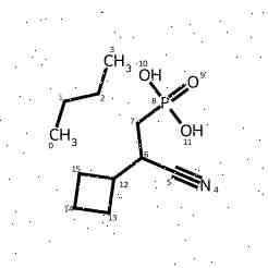 CCCC.N#CC(CP(=O)(O)O)C1CCC1